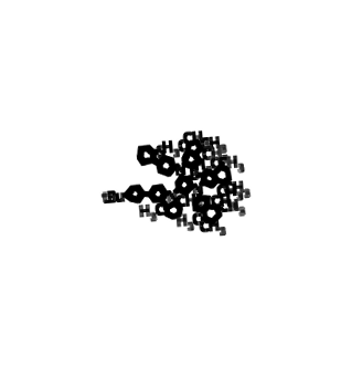 CC(C)(C)c1ccc(-c2ccc3c(c2)C2(C)CCCCC2(C)N3c2cc3c4c(c2)N(c2ccc5c(c2)sc2ccccc25)c2cc5c(cc2B4c2cc4c(cc2N3c2ccc3c(c2)C(C)(C)CCC3(C)C)C(C)(C)CCC4(C)C)C(C)(C)CC5(C)C)cc1